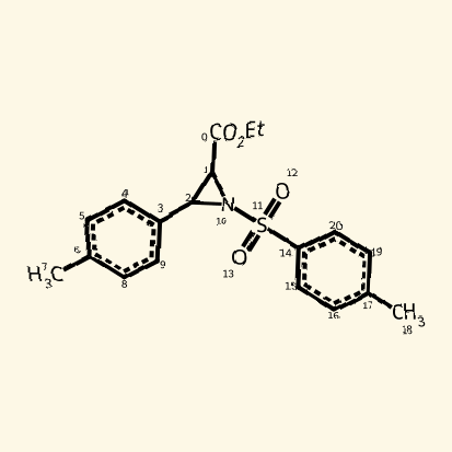 CCOC(=O)C1C(c2ccc(C)cc2)N1S(=O)(=O)c1ccc(C)cc1